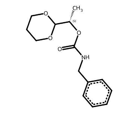 C[C@H](OC(=O)NCc1ccccc1)C1OCCCO1